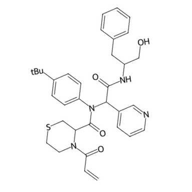 C=CC(=O)N1CCSCC1C(=O)N(c1ccc(C(C)(C)C)cc1)C(C(=O)NC(CO)Cc1ccccc1)c1cccnc1